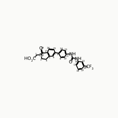 O=C(O)CN1CCc2cc(-c3ccc(NC(=O)Nc4cccc(C(F)(F)F)c4)cc3)ccc2C1=O